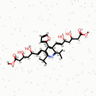 COC(=O)CC(O)CC(O)/C=C/c1c(C(C)C)nc(C(C)C)c(/C=C/C(O)CC(O)CC(=O)OC)c1-c1ccco1